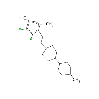 Cc1cc(C)c(CCC2CCC(C3CCC(C)CC3)CC2)c(F)c1F